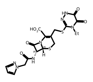 CCn1c(SCC2=C(C(=O)O)N3C(=O)[C@@H](NC(=O)Cn4cccn4)[C@H]3SC2)n[nH]c(=O)c1=O